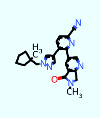 CN1Cc2ncc(-c3nc(C#N)ccc3-c3cnn(CC4(C)CCCC4)c3)cc2C1=O